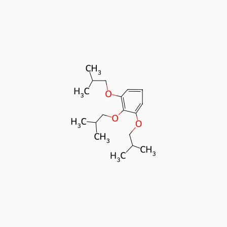 CC(C)COc1cccc(OCC(C)C)c1OCC(C)C